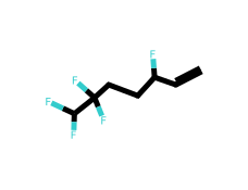 C=CC(F)CCC(F)(F)C(F)F